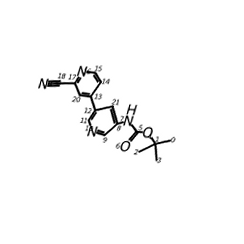 CC(C)(C)OC(=O)Nc1cncc(-c2ccnc(C#N)c2)c1